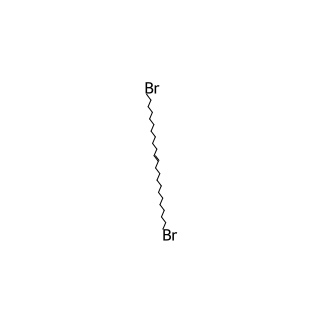 BrCCCCCCCCCCC=CCCCCCCCCCCCBr